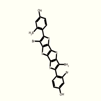 Bc1cc(O)ccc1-c1sc2c(sc3c4sc(-c5ccc(O)cc5Br)c(B)c4sc23)c1Br